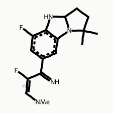 CN/C=C(/F)C(=N)c1cc(F)c2c(c1)N1C(CCC1(C)C)N2